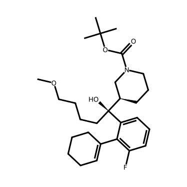 COCCCC[C@@](O)(c1cccc(F)c1C1=CCCCC1)[C@@H]1CCCN(C(=O)OC(C)(C)C)C1